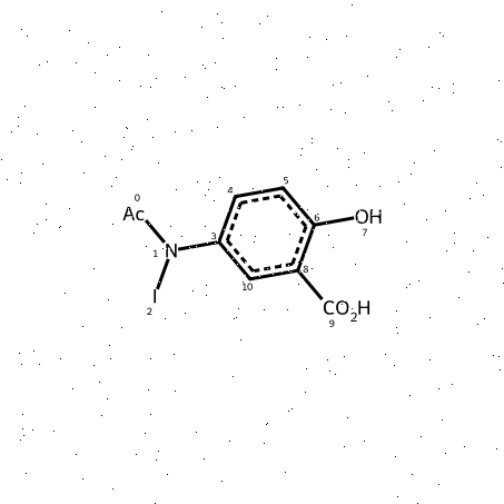 CC(=O)N(I)c1ccc(O)c(C(=O)O)c1